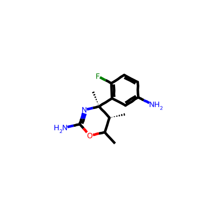 CC1OC(N)=N[C@@](C)(c2cc(N)ccc2F)[C@@H]1C